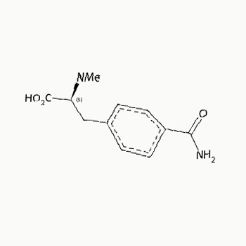 CN[C@@H](Cc1ccc(C(N)=O)cc1)C(=O)O